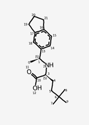 C[C@H](N[C@@H](CCC(C)(C)C)C(=O)O)c1ccc2c(c1)CCC2